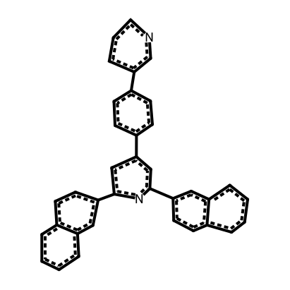 c1cncc(-c2ccc(-c3cc(-c4ccc5ccccc5c4)nc(-c4ccc5ccccc5c4)c3)cc2)c1